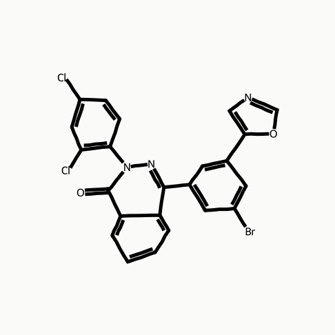 O=c1c2ccccc2c(-c2cc(Br)cc(-c3cnco3)c2)nn1-c1ccc(Cl)cc1Cl